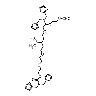 CN(C)C(CCOCCOCCOC(=O)N(Cc1cccs1)Cc1cccs1)CCOCC(OCCOC=O)N(Cc1cccs1)Cc1cccs1